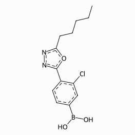 CCCCCc1nnc(-c2ccc(B(O)O)cc2Cl)o1